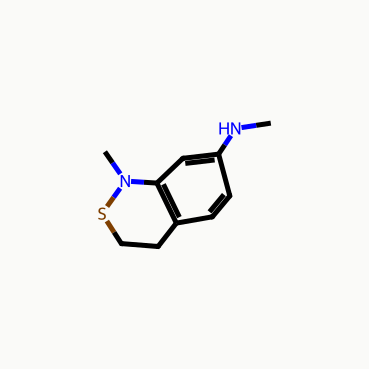 CNc1ccc2c(c1)N(C)SCC2